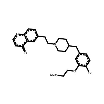 COCCOc1cc(CC2CCN(CCc3ccc4occc(=O)c4c3)CC2)ccc1Br